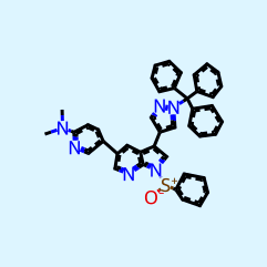 CN(C)c1ccc(-c2cnc3c(c2)c(-c2cnn(C(c4ccccc4)(c4ccccc4)c4ccccc4)c2)cn3[S+]([O-])c2ccccc2)cn1